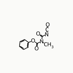 CN(C(=O)N=C=O)C(=O)Oc1ccccc1